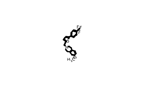 COc1ccc2c(c1)CCN(Cc1ccc(-c3ccc(C(F)(F)F)cc3)s1)CC2